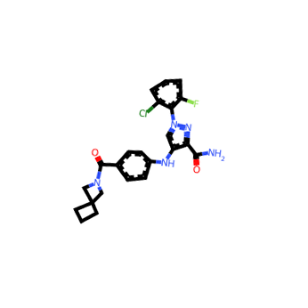 NC(=O)c1nn(-c2c(F)cccc2Cl)cc1Nc1ccc(C(=O)N2CC3(CCC3)C2)cc1